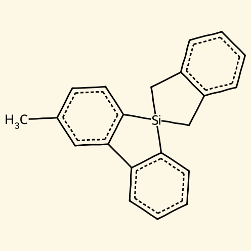 Cc1ccc2c(c1)-c1ccccc1[Si]21Cc2ccccc2C1